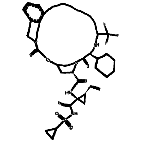 C=C[C@@H]1C[C@]1(NC(=O)[C@@H]1CC2CN1C(=O)[C@H](C1CCCCC1)NC(C(F)(F)F)CCCCCCc1cccc3c1CN(C3)C(=O)O2)C(=O)NS(=O)(=O)C1CC1